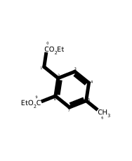 CCOC(=O)Cc1ccc(C)cc1C(=O)OCC